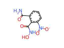 NC(=O)c1cccc([N+](=O)[O-])c1C(=O)NO